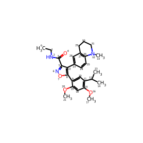 CCNC(=O)c1noc(-c2cc(C(C)C)c(OC)cc2OC)c1-c1ccc2c(c1)CCCN2C